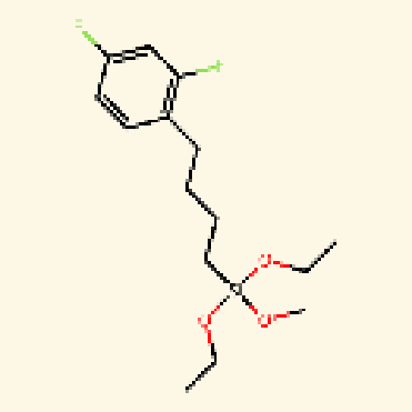 CCO[Si](CCCCc1ccc(F)cc1F)(OC)OCC